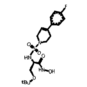 CC(C)(C)OCC(NS(=O)(=O)N1CC=C(c2ccc(F)cc2)CC1)C(=O)NO